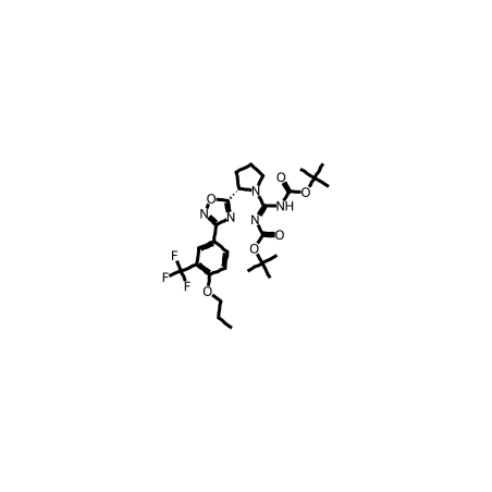 CCCOc1ccc(-c2noc([C@@H]3CCCN3/C(=N/C(=O)OC(C)(C)C)NC(=O)OC(C)(C)C)n2)cc1C(F)(F)F